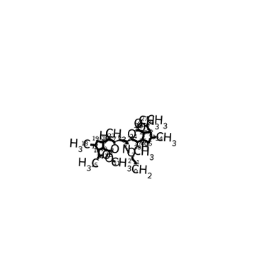 C=CCO/N=C(/C[C@H]1O[C@H](OC)[C@@]23OC(C)C2C(C)C[C@H]3[C@H]1C)[C@H]1O[C@H](OC)[C@@]23OC(C)C2C(C)C[C@H]3[C@H]1C